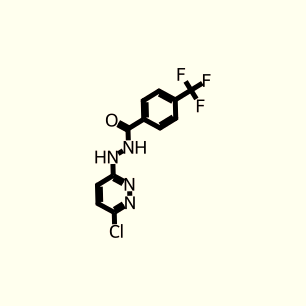 O=C(NNc1ccc(Cl)nn1)c1ccc(C(F)(F)F)cc1